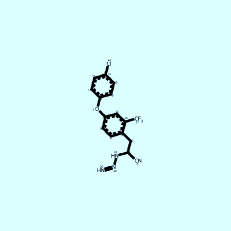 N#CC(Cc1ccc(Oc2ccc(Cl)cc2)cc1C(F)(F)F)NN=N